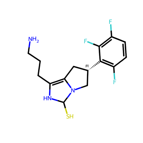 NCCCC1=C2C[C@H](c3c(F)ccc(F)c3F)CN2C(S)N1